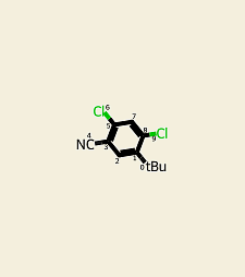 CC(C)(C)c1cc(C#N)c(Cl)cc1Cl